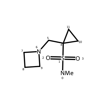 CNS(=O)(=O)C1(CN2CCC2)CC1